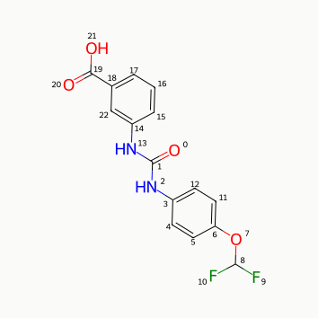 O=C(Nc1ccc(OC(F)F)cc1)Nc1cccc(C(=O)O)c1